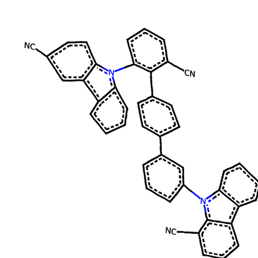 N#Cc1ccc2c(c1)c1ccccc1n2-c1cccc(C#N)c1-c1ccc(-c2cccc(-n3c4ccccc4c4cccc(C#N)c43)c2)cc1